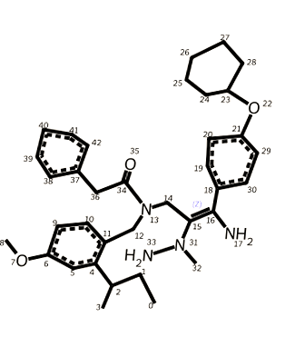 CCC(C)c1cc(OC)ccc1CN(C/C(=C(/N)c1ccc(OC2CCCCC2)cc1)N(C)N)C(=O)Cc1ccccc1